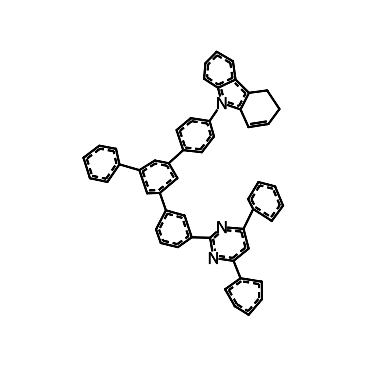 C1=Cc2c(c3ccccc3n2-c2ccc(-c3cc(-c4ccccc4)cc(-c4cccc(-c5nc(-c6ccccc6)cc(-c6ccccc6)n5)c4)c3)cc2)CC1